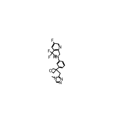 Cn1cnnc1CC1(c2cccc(NCc3ncc(F)cc3C(F)(F)F)c2)COC1